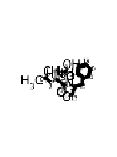 CC(C)C[C@H](NC(=O)O)C(=O)NC(C=O)Cc1ccccc1